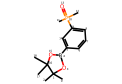 CC1(C)OB(c2cccc(P(C)(C)=O)c2)OC1(C)C